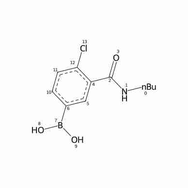 CCCCNC(=O)c1cc(B(O)O)ccc1Cl